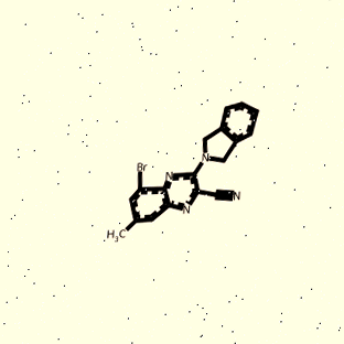 Cc1cc(Br)c2nc(N3Cc4ccccc4C3)c(C#N)nc2c1